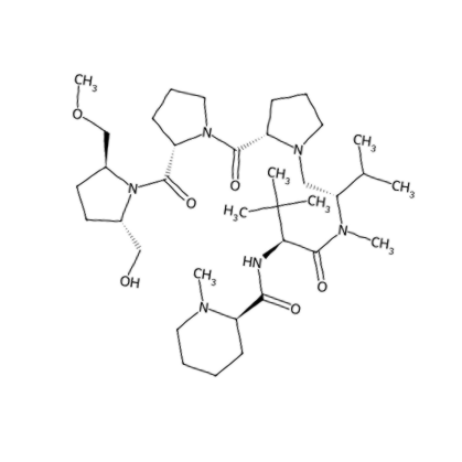 COC[C@@H]1CC[C@@H](CO)N1C(=O)[C@@H]1CCCN1C(=O)[C@@H]1CCCN1C[C@H](C(C)C)N(C)C(=O)[C@@H](NC(=O)[C@H]1CCCCN1C)C(C)(C)C